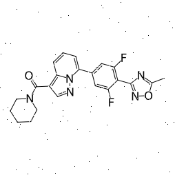 Cc1nc(-c2c(F)cc(-c3cccc4c(C(=O)N5CCCCC5)cnn34)cc2F)no1